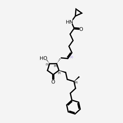 C[C@@H](CCc1ccccc1)CC[C@H]1C(=O)C[C@H](O)[C@@H]1C/C=C\CCCC(=O)NC1CC1